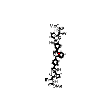 COC(=O)N[C@H](C(=O)N1CCCC1c1ncc(-c2ccc(-c3nnc(-c4ccc5nc([C@H]6CCCN6C(=O)[C@@H](NC(=O)OC)C(C)C)[nH]c5c4)c4c3C3CCC4CC3)cc2)[nH]1)C(C)C